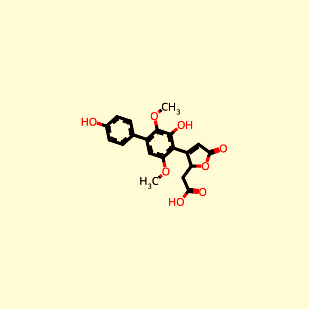 COc1cc(-c2ccc(O)cc2)c(OC)c(O)c1C1=CC(=O)OC1CC(=O)O